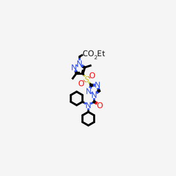 CCOC(=O)Cn1nc(C)c(S(=O)(=O)c2ncn(C(=O)N(C3CCCCC3)C3CCCCC3)n2)c1C